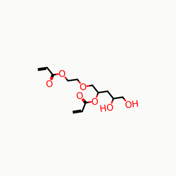 C=CC(=O)OCCOCC(CC(O)CO)OC(=O)C=C